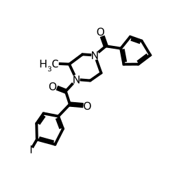 CC1CN(C(=O)c2ccccc2)CCN1C(=O)C(=O)c1ccc(I)cc1